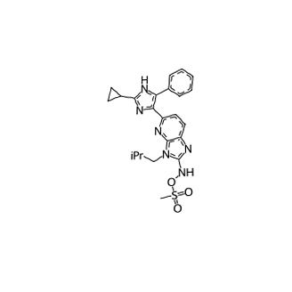 CC(C)Cn1c(NOS(C)(=O)=O)nc2ccc(-c3nc(C4CC4)[nH]c3-c3ccccc3)nc21